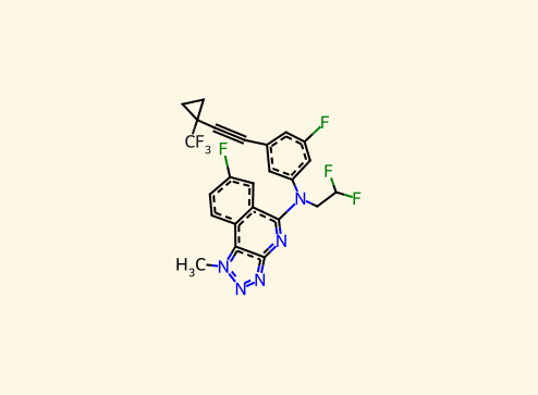 Cn1nnc2nc(N(CC(F)F)c3cc(F)cc(C#CC4(C(F)(F)F)CC4)c3)c3cc(F)ccc3c21